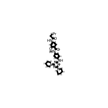 CC(C)CC(=O)Nc1ccc(C(=O)Nc2ccc(Nc3nc(N4CCCCC4)nc(N4CCCCC4)n3)cc2)c(O)c1